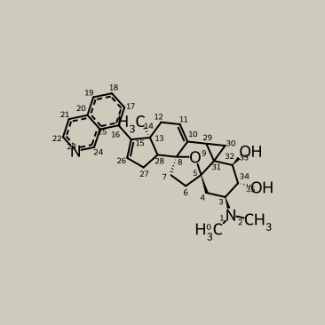 CN(C)[C@H]1C[C@@]23CC[C@@]4(O2)C(=CC[C@]2(C)C(c5cccc6ccncc56)=CCC24)C2CC23[C@@H](O)[C@@H]1O